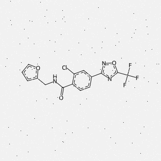 O=C(NCc1ccco1)c1ccc(-c2noc(C(F)(F)F)n2)cc1Cl